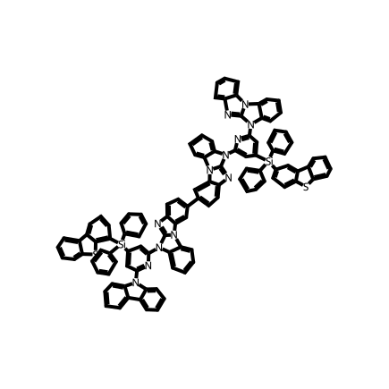 c1ccc([Si](c2ccccc2)(c2cc(-n3c4ccccc4n4c5ccccc5nc34)nc(-n3c4ccccc4n4c5cc(-c6ccc7nc8n(-c9cc([Si](c%10ccccc%10)(c%10ccccc%10)c%10cccc%11c%10sc%10ccccc%10%11)cc(-n%10c%11ccccc%11c%11ccccc%11%10)n9)c9ccccc9n8c7c6)ccc5nc34)c2)c2ccc3sc4ccccc4c3c2)cc1